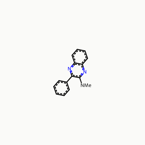 CNc1nc2ccccc2nc1-c1ccccc1